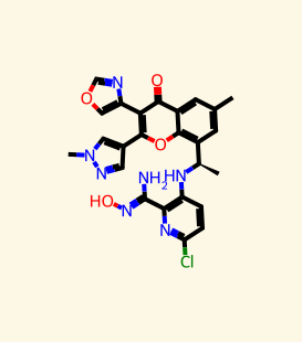 Cc1cc([C@@H](C)Nc2ccc(Cl)nc2/C(N)=N/O)c2oc(-c3cnn(C)c3)c(-c3cocn3)c(=O)c2c1